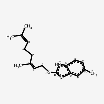 CC(C)=CCCC(C)=CCSc1nc2cc(C(F)(F)F)ccc2[nH]1